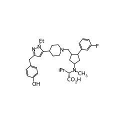 CCn1nc(Cc2ccc(O)cc2)cc1C1CCN(CC2CC(N(C)[C@@H](C(=O)O)C(C)C)CC2c2cccc(F)c2)CC1